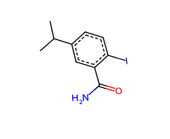 CC(C)c1ccc(I)c(C(N)=O)c1